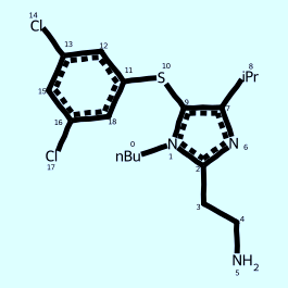 CCCCn1c(CCN)nc(C(C)C)c1Sc1cc(Cl)cc(Cl)c1